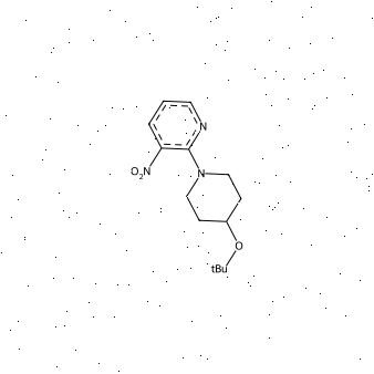 CC(C)(C)OC1CCN(c2ncccc2[N+](=O)[O-])CC1